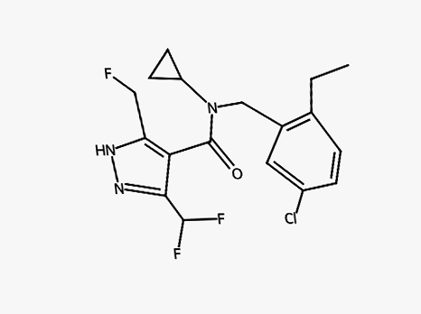 CCc1ccc(Cl)cc1CN(C(=O)c1c(C(F)F)n[nH]c1CF)C1CC1